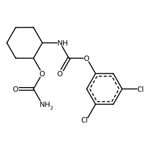 NC(=O)OC1CCCCC1NC(=O)Oc1cc(Cl)cc(Cl)c1